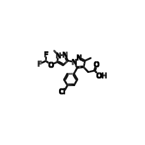 Cc1nn(-c2cc(OC(F)F)n(C)n2)c(-c2ccc(Cl)cc2)c1CC(=O)O